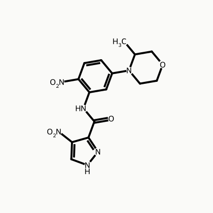 CC1COCCN1c1ccc([N+](=O)[O-])c(NC(=O)c2n[nH]cc2[N+](=O)[O-])c1